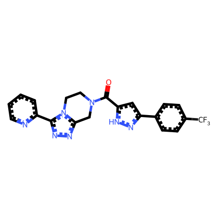 O=C(c1cc(-c2ccc(C(F)(F)F)cc2)n[nH]1)N1CCn2c(nnc2-c2ccccn2)C1